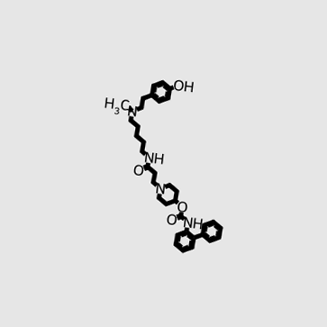 CN(CCCCCNC(=O)CCN1CCC(OC(=O)Nc2ccccc2-c2ccccc2)CC1)CCc1ccc(O)cc1